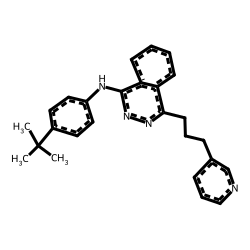 CC(C)(C)c1ccc(Nc2nnc(CCCc3cccnc3)c3ccccc23)cc1